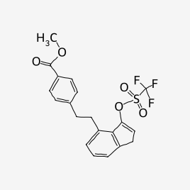 COC(=O)c1ccc(CCc2cccc3c2C(OS(=O)(=O)C(F)(F)F)=CC3)cc1